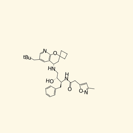 Cc1cc(CC(=O)N[C@@H](Cc2ccccc2)[C@H](O)CN[C@H]2CC3(CCC3)Oc3ncc(CC(C)(C)C)cc32)on1